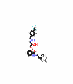 CC(C)CCNC(=O)c1ccccc1OCC(O)CNCc1ccc(C(F)(F)F)cc1